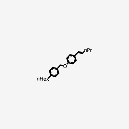 CCCC=Cc1ccc(OCc2ccc(CCCCCC)cc2)cc1